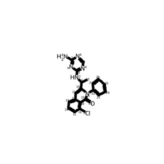 CC(Nc1ncnc(N)n1)c1cc2cccc(Cl)c2c(=O)n1-c1ccccc1